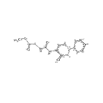 COC(=O)CNC(=O)Nc1ccc(-c2cccnc2)oc1=O